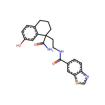 NC(=O)C1(CCNC(=O)c2ccc3ncsc3c2)CCCc2ccc(O)cc21